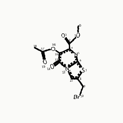 COC(=O)c1nc2sc(CBr)cn2c(=O)c1OC(C)=O